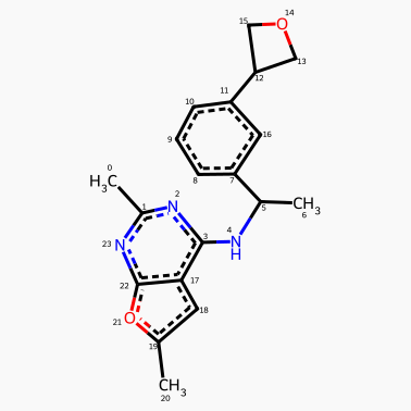 Cc1nc(NC(C)c2cccc(C3COC3)c2)c2cc(C)oc2n1